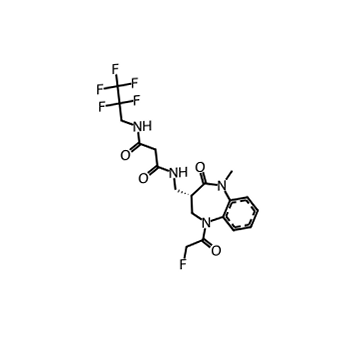 CN1C(=O)[C@@H](CNC(=O)CC(=O)NCC(F)(F)C(F)(F)F)CN(C(=O)CF)c2ccccc21